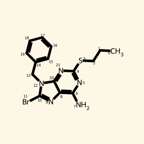 CCCSc1nc(N)c2nc(Br)n(Cc3ccccc3)c2n1